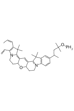 C=CC1=C(/C=C\C)C(C)(C)C2=C3C=C4C5=[N+](CCC4OC3CCN12)c1ccc(C(C)CC(C)(C)OP)cc1C5(C)C